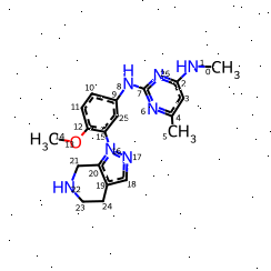 CNc1cc(C)nc(Nc2ccc(OC)c(-n3ncc4c3CNCC4)c2)n1